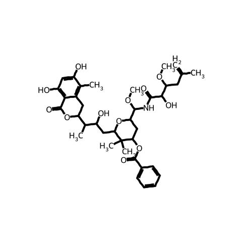 C=C(C)CC(OC)C(O)C(=O)NC(OC)C1CC(OC(=O)c2ccccc2)C(C)(C)C(CC(O)C(C)C2Cc3c(C)c(O)cc(O)c3C(=O)O2)O1